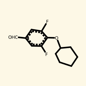 O=Cc1cc(F)c(OC2CCCCC2)c(F)c1